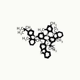 Cc1cc(C)c2c(c1)N1c3c(cc(C(C)(C)C)cc3C3(C)CCCCC13C)B2c1ccc(N2c3ccc(C(C)(C)C)cc3C3(C)CCCCC23C)cc1C(C)c1ccc2sc3ccccc3c2c1